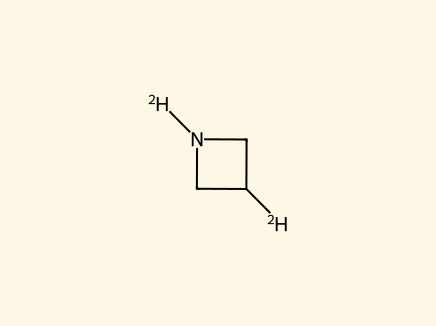 [2H]C1CN([2H])C1